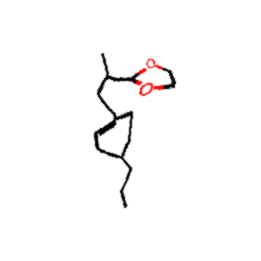 CCCC1CC=C(CC(C)C2OCCO2)CC1